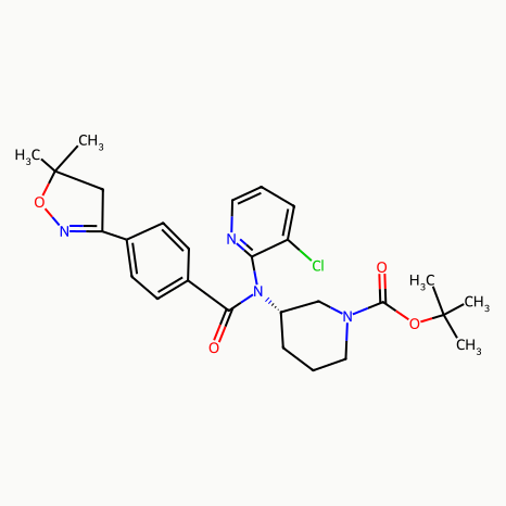 CC(C)(C)OC(=O)N1CCC[C@H](N(C(=O)c2ccc(C3=NOC(C)(C)C3)cc2)c2ncccc2Cl)C1